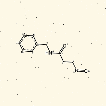 O=NCCC(=O)NCc1ccccc1